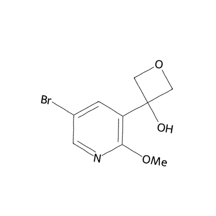 COc1ncc(Br)cc1C1(O)COC1